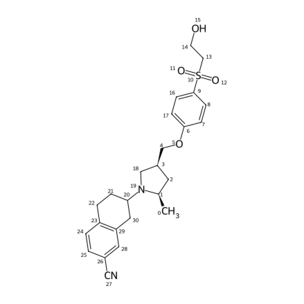 C[C@@H]1C[C@H](COc2ccc(S(=O)(=O)CCO)cc2)CN1C1CCc2ccc(C#N)cc2C1